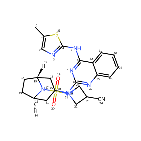 Cc1cnc(Nc2nc(NC3C[C@H]4CC[C@H](C3)N4S(=O)(=O)N3CC(C#N)C3)nc3ccccc23)s1